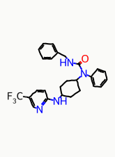 O=C(NCc1ccccc1)N(c1ccccc1)C1CCC(Nc2ccc(C(F)(F)F)cn2)CC1